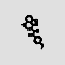 CSc1ccc(NC(=S)Nc2noc3cccc(N(C)C)c23)cc1